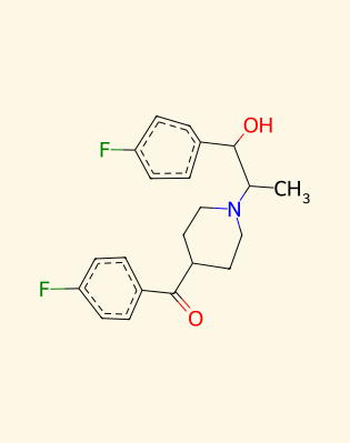 CC(C(O)c1ccc(F)cc1)N1CCC(C(=O)c2ccc(F)cc2)CC1